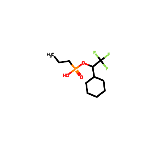 CCCP(=O)(O)OC(C1CCCCC1)C(F)(F)F